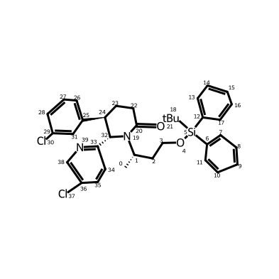 C[C@@H](CCO[Si](c1ccccc1)(c1ccccc1)C(C)(C)C)N1C(=O)CC[C@H](c2cccc(Cl)c2)[C@H]1c1ccc(Cl)cn1